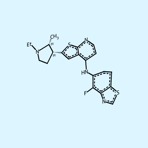 CCN1CC[C@@H](c2cc3c(Nc4ccc5scnc5c4F)ccnc3s2)[C@H]1C